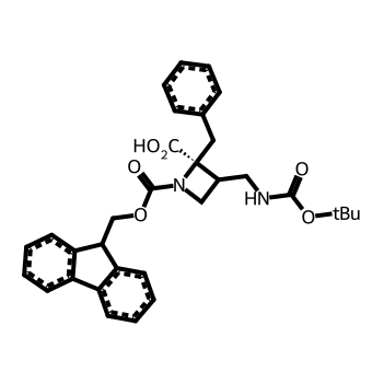 CC(C)(C)OC(=O)NCC1CN(C(=O)OCC2c3ccccc3-c3ccccc32)[C@]1(Cc1ccccc1)C(=O)O